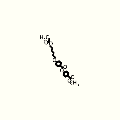 C=CC(=O)OCCCCCCOc1ccc(C(=O)Oc2ccc(C(=O)OC)cc2)cc1